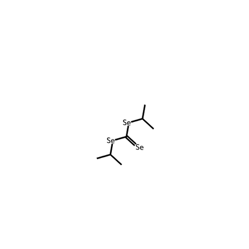 CC(C)[Se]C(=[Se])[Se]C(C)C